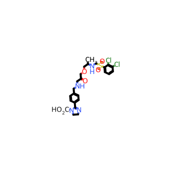 CC(COCC(=O)CNCc1ccc(C2=NCCN2C(=O)O)cc1)NCS(=O)(=O)c1cccc(Cl)c1Cl